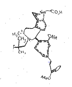 COC(=O)/C=C/c1ccc(C2c3ccc4c(cnn4C(=O)O)c3C[C@@H](C)N2CC(C)(C)F)c(OC)c1